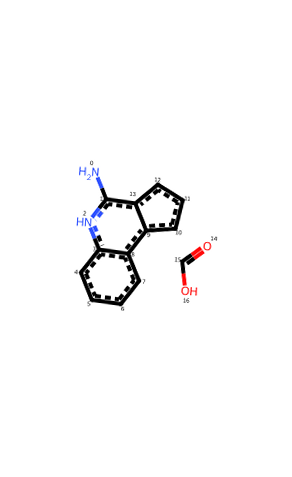 Nc1[nH]c2ccccc2c2cccc1-2.O=CO